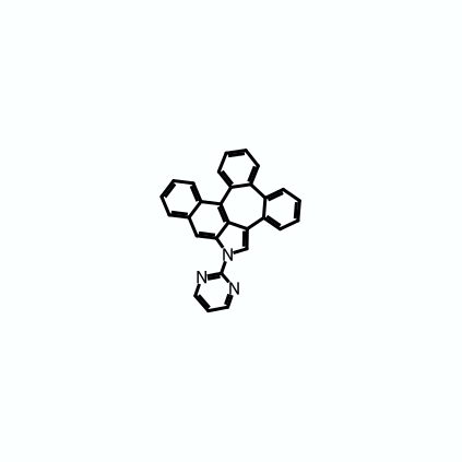 c1cnc(-n2cc3c4c(c5ccccc5cc42)-c2ccccc2-c2ccccc2-3)nc1